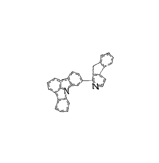 c1ccc2c(c1)Cc1c-2ccnc1-c1ccc2c3cccc4c5ccccc5n(c2c1)c43